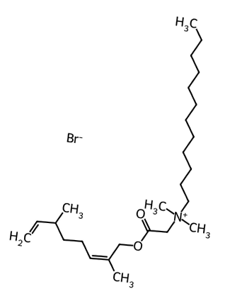 C=CC(C)CCC=C(C)COC(=O)C[N+](C)(C)CCCCCCCCCCCC.[Br-]